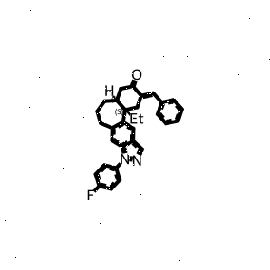 CC[C@]12CC(=Cc3ccccc3)C(=O)C[C@@H]1CCCc1cc3c(cnn3-c3ccc(F)cc3)cc12